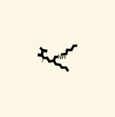 C=C(C)C(=C)[C@@H](C)CCC(CCCCC)CNCCCCCC